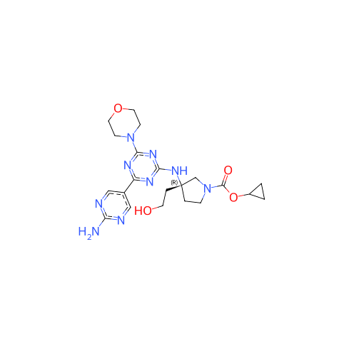 Nc1ncc(-c2nc(N[C@@]3(CCO)CCN(C(=O)OC4CC4)C3)nc(N3CCOCC3)n2)cn1